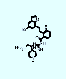 N=C(NC(=O)c1cccc(F)c1CCc1cc(Br)cc2ccoc12)NC(CC(=O)O)C1CCNCC1